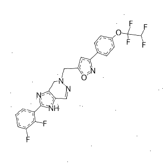 Fc1cccc(-c2nc3c([nH]2)C=NN(Cc2cc(-c4ccc(OC(F)(F)C(F)F)cc4)no2)C3)c1F